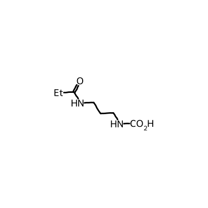 CCC(=O)NCCCNC(=O)O